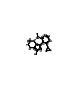 COc1[n+]#cnc(C2CC2)c1-c1nn(C)c2c1CNCC2